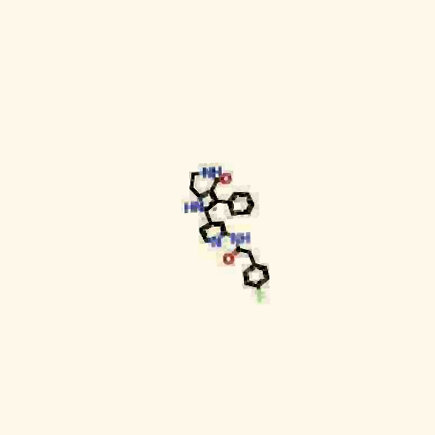 O=C(Cc1ccc(F)cc1)Nc1cc(-c2[nH]c3c(c2-c2ccccc2)C(=O)NCC3)ccn1